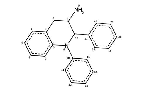 NC1Cc2ccccc2N(c2ccccc2)C1c1ccccc1